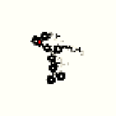 C=Cc1ccc(C23CC4CC(C2)CC(c2ccc(N(c5ccc(CCCC)cc5)c5ccc6c(c5)C(C)(C)c5cc(N(c7ccccc7)c7ccccc7)ccc5-6)cc2)(C4)C3)cc1